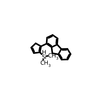 C[SiH](C)C1=C(c2cccc3c2Cc2ccccc2-3)CC=C1